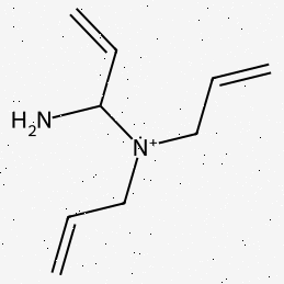 C=CC[N+](CC=C)C(N)C=C